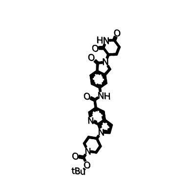 CC(C)(C)OC(=O)N1CCC(n2ccc3cc(C(=O)Nc4ccc5c(c4)CN(C4CCC(=O)NC4=O)C5=O)cnc32)CC1